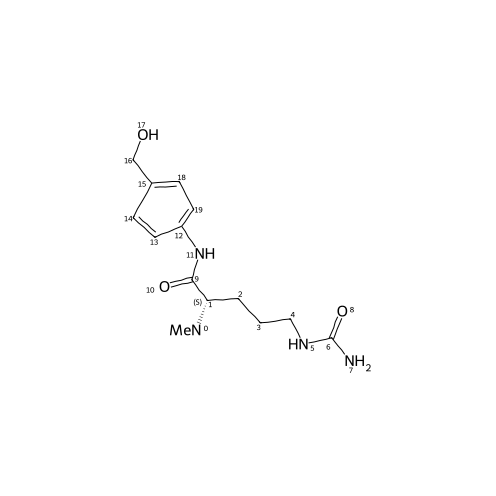 CN[C@@H](CCCNC(N)=O)C(=O)Nc1ccc(CO)cc1